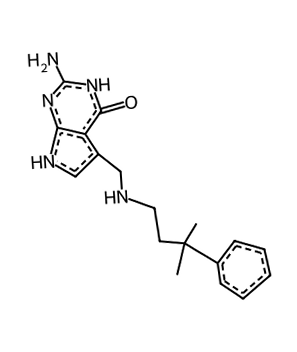 CC(C)(CCNCc1c[nH]c2nc(N)[nH]c(=O)c12)c1ccccc1